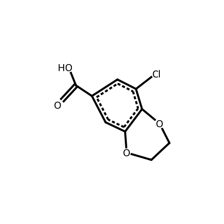 O=C(O)c1cc(Cl)c2c(c1)OCCO2